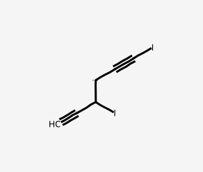 C#CC(I)[CH]C#CI